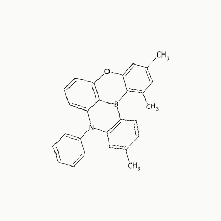 Cc1cc(C)c2c(c1)Oc1cccc3c1B2c1ccc(C)cc1N3c1ccccc1